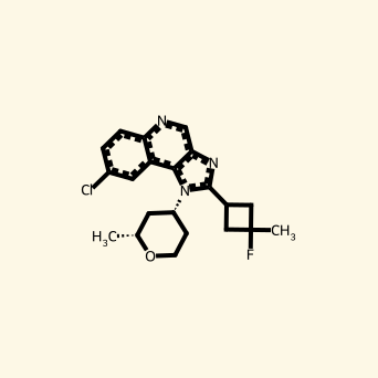 C[C@@H]1C[C@H](n2c(C3CC(C)(F)C3)nc3cnc4ccc(Cl)cc4c32)CCO1